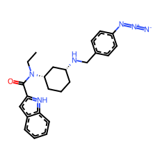 CCN(C(=O)c1cc2ccccc2[nH]1)[C@H]1CCC[C@@H](NCc2ccc(N=[N+]=[N-])cc2)C1